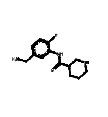 NCc1ccc(F)c(NC(=O)C2CCCNC2)c1